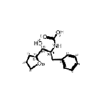 O=C(O)N[C@@H](Cc1ccccc1)[C@@H](O)[C@@H]1CCCO1